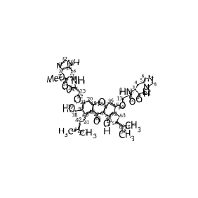 CCC(=O)[C@H](Cc1cnc[nH]1)NC(=O)COc1cc2oc3cc(OCC(=O)N[C@@H](Cc4cnc[nH]4)C(=O)OC)c(CO)c(CC=C(C)C)c3c(=O)c2c(O)c1CC=C(C)C